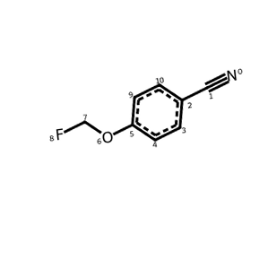 N#Cc1ccc(OCF)cc1